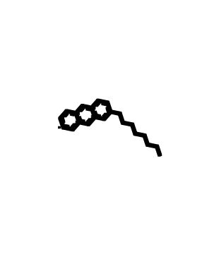 CCCCCCCCc1ccc2cc3cc[c]cc3cc2c1